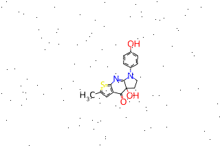 Cc1cc2c(s1)N=C1N(c3ccc(O)cc3)CCC1(O)C2=O